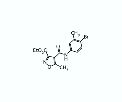 CCOC(=O)c1noc(C)c1C(=O)Nc1ccc(Br)c(C)c1